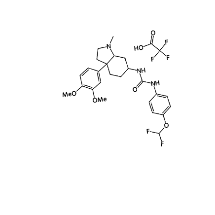 COc1ccc(C23CCC(NC(=O)Nc4ccc(OC(F)F)cc4)CC2N(C)CC3)cc1OC.O=C(O)C(F)(F)F